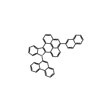 c1ccc2cc(-c3cc4cccc5c4c4c3cccc4c3c5c4ccccc4n3-c3cc4ccccc4c4ccccc34)ccc2c1